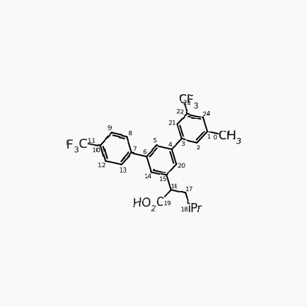 Cc1cc(-c2cc(-c3ccc(C(F)(F)F)cc3)cc(C(CC(C)C)C(=O)O)c2)cc(C(F)(F)F)c1